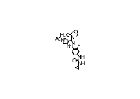 CC(=O)N1Cc2nc(-c3ccc(NC(=O)NC4CC4)cc3F)nc(N3CCOCC3C)c2C1